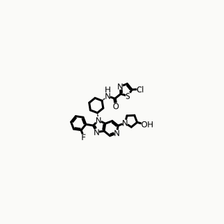 O=C(N[C@H]1CCC[C@@H](n2c(-c3ccccc3F)nc3cnc(N4CCC(O)C4)cc32)C1)c1ncc(Cl)s1